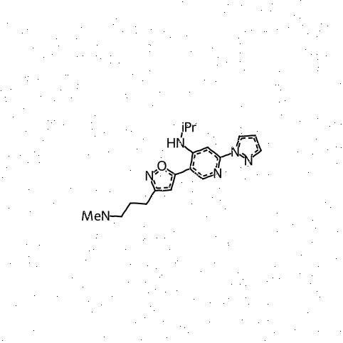 CNCCCc1cc(-c2cnc(-n3cccn3)cc2NC(C)C)on1